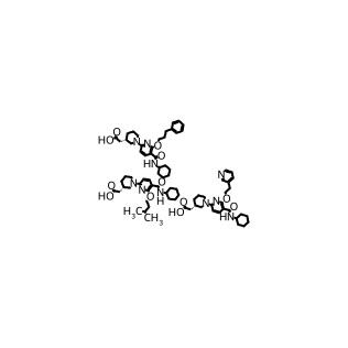 CC(C)CCOc1nc(N2CCC[C@@H](CC(=O)O)C2)ccc1C(=O)NC1CCCCC1.O=C(O)C[C@@H]1CCCN(c2ccc(C(=O)NC3CCCCC3)c(OCCCc3ccccc3)n2)C1.O=C(O)C[C@@H]1CCCN(c2ccc(C(=O)NC3CCCCC3)c(OCCc3cccnc3)n2)C1